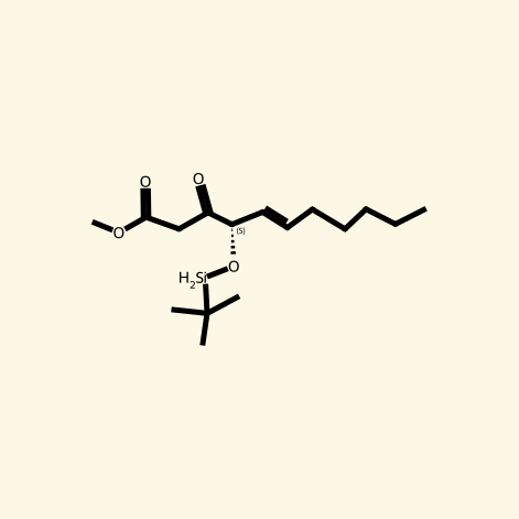 CCCCCC=C[C@H](O[SiH2]C(C)(C)C)C(=O)CC(=O)OC